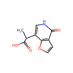 CC(C(=O)O)c1c[nH]c(=O)c2ccoc12